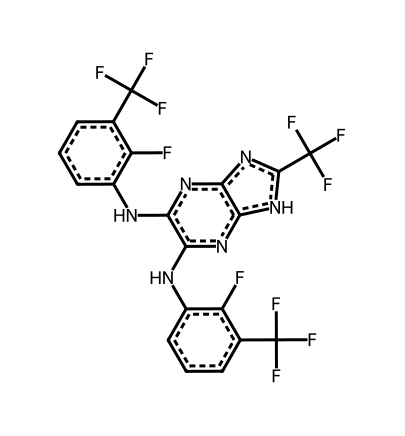 Fc1c(Nc2nc3nc(C(F)(F)F)[nH]c3nc2Nc2cccc(C(F)(F)F)c2F)cccc1C(F)(F)F